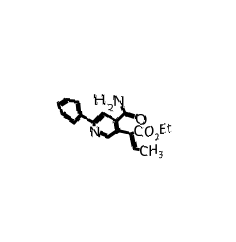 C/C=C(\C(=O)OCC)c1cnc(-c2ccccc2)cc1C(N)=O